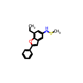 CCc1cc(NSC)cc2cc(-c3ccccc3)oc12